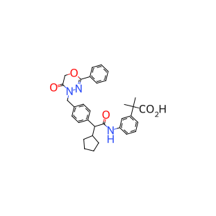 CC(C)(C(=O)O)c1cccc(NC(=O)C(c2ccc(CN3N=C(c4ccccc4)OCC3=O)cc2)C2CCCC2)c1